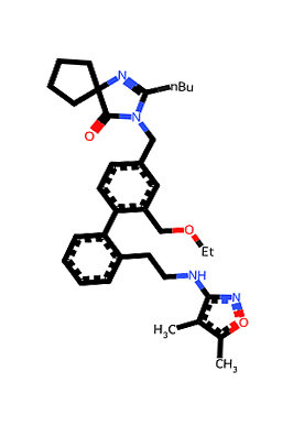 CCCCC1=NC2(CCCC2)C(=O)N1Cc1ccc(-c2ccccc2CCNc2noc(C)c2C)c(COCC)c1